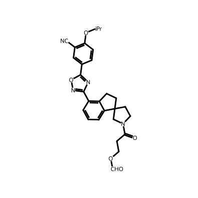 CC(C)Oc1ccc(-c2nc(-c3cccc4c3CCC43CCN(C(=O)CCOC=O)C3)no2)cc1C#N